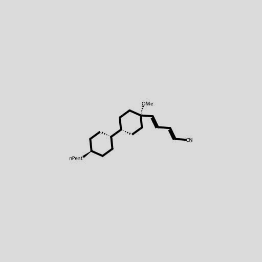 CCCCC[C@H]1CC[C@H]([C@H]2CC[C@@](C=CC=CC#N)(OC)CC2)CC1